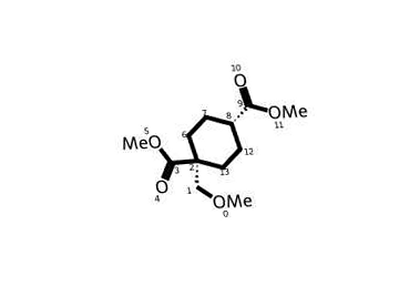 COC[C@]1(C(=O)OC)CC[C@H](C(=O)OC)CC1